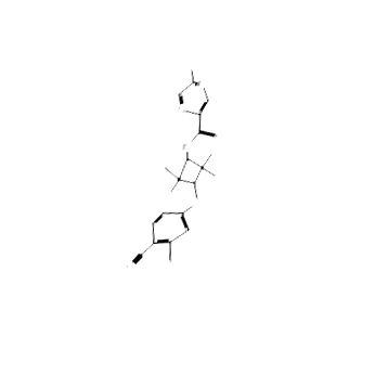 CC1(C)C(NC(=O)c2cnc(S)cn2)C(C)(C)C1Oc1ccc(C#N)c(Cl)c1